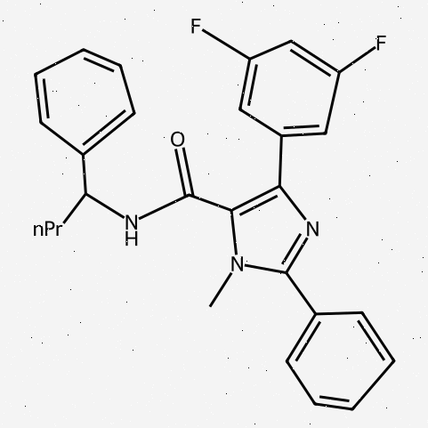 CCCC(NC(=O)c1c(-c2cc(F)cc(F)c2)nc(-c2ccccc2)n1C)c1ccccc1